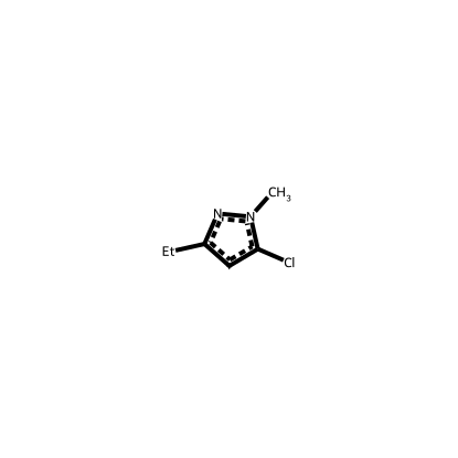 CCc1[c]c(Cl)n(C)n1